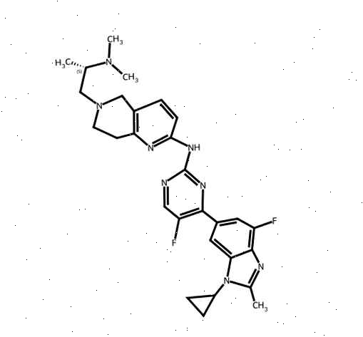 Cc1nc2c(F)cc(-c3nc(Nc4ccc5c(n4)CCN(C[C@H](C)N(C)C)C5)ncc3F)cc2n1C1CC1